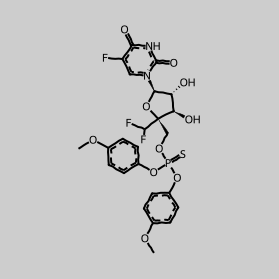 COc1ccc(OP(=S)(OC[C@@]2(C(F)F)O[C@@H](n3cc(F)c(=O)[nH]c3=O)[C@H](O)[C@H]2O)Oc2ccc(OC)cc2)cc1